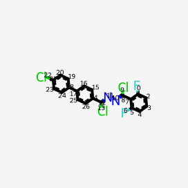 Fc1cccc(F)c1/C(Cl)=N/N=C(\Cl)c1ccc(-c2ccc(Cl)cc2)cc1